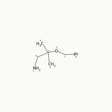 C[C](C)COC(C)(C)CN